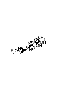 C[C@H]1O[C@@H](n2cnc3c(SCc4cnc(C(F)(F)F)nc4)ncnc32)[C@H](O)[C@@H]1O